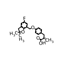 C[C@@H](Cc1ccc(OCc2cc(F)cc3c2OC(C)(C)C3)cc1)C(=O)O